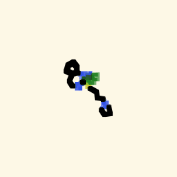 Cl.Cl.c1ccc2c(c1)CCN=C(SCCCCN1CCCC1)N2